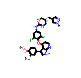 CC(C)Oc1ccc(-c2c[nH]c3nccc(Oc4c(F)cc(NC5=NC[C@@H](Cc6cnn(C)c6)CO5)cc4F)c23)cc1C#N